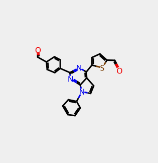 O=Cc1ccc(-c2nc(-c3ccc(C=O)s3)c3ccn(-c4ccccc4)c3n2)cc1